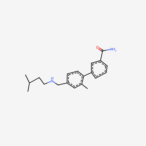 Cc1cc(CNCCC(C)C)ccc1-c1cccc(C(N)=O)c1